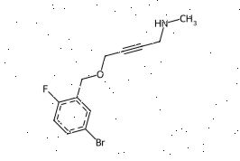 CNCC#CCOCc1cc(Br)ccc1F